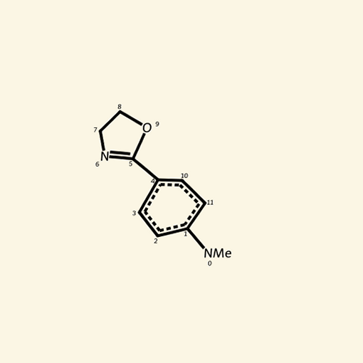 CNc1ccc(C2=NCCO2)cc1